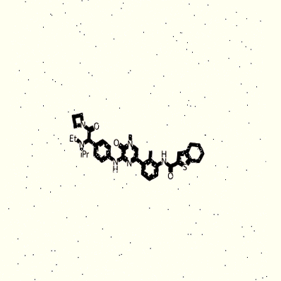 CCN(C(C)C)C(C(=O)N1CCC1)c1ccc(Nc2nc(-c3cccc(NC(=O)c4cc5c(s4)CCCC5)c3C)cn(C)c2=O)cc1